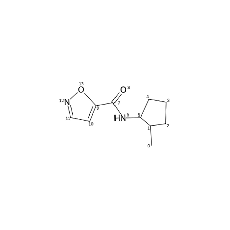 CC1CCCC1NC(=O)c1ccno1